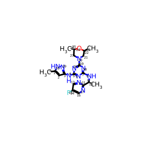 Cc1cc(Nc2nc(N[C@@H](C)c3ncc(F)cn3)nc(N3CC(C)O[C@H](C)C3)n2)n[nH]1